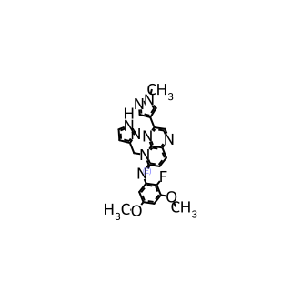 COc1cc(/N=c2\ccc3ncc(-c4cnn(C)c4)nc3n2Cc2cc[nH]n2)c(F)c(OC)c1